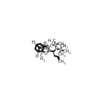 C=CC[C@@H](B1O[C@@H]2C[C@@H]3C[C@@H](C3(C)C)[C@]2(C)O1)N([Si](C)(C)C)[Si](C)(C)C